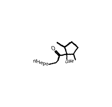 CCCCCCCCC(=O)C1(OC)C(C)CCC1C